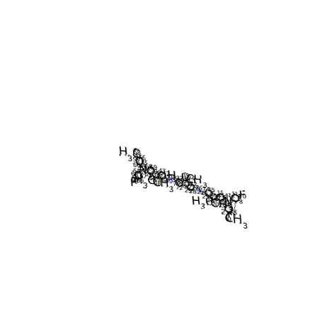 Cc1ccc(N(c2ccc(F)cc2)c2ccc3c(c2)C(C)(C)c2cc(/C=C/c4ccc5c(c4)C(C)(C)c4cc(/C=C/c6ccc7c(c6)C(C)(C)c6cc(N(c8ccc(C)cc8)c8ccc(F)cc8)ccc6-7)ccc4-5)ccc2-3)cc1